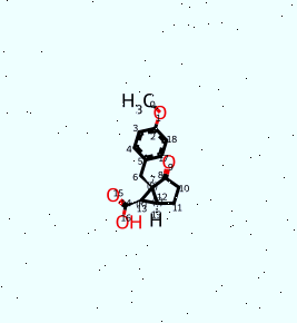 COc1ccc(C[C@@]23C(=O)CC[C@H]2[C@H]3C(=O)O)cc1